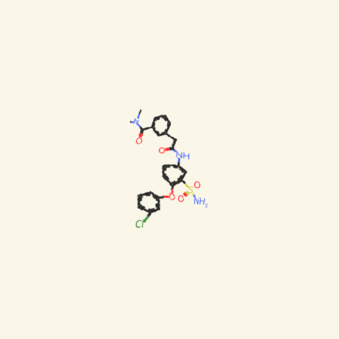 CN(C)C(=O)c1cccc(CC(=O)Nc2ccc(Oc3cccc(Cl)c3)c(S(N)(=O)=O)c2)c1